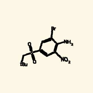 CC(C)(C)CS(=O)(=O)c1cc(Br)c(N)c([N+](=O)[O-])c1